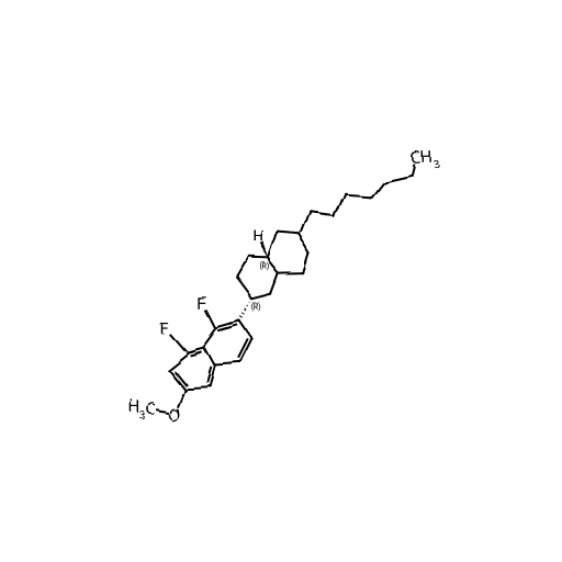 CCCCCCCC1CCC2C[C@H](c3ccc4cc(OC)cc(F)c4c3F)CC[C@@H]2C1